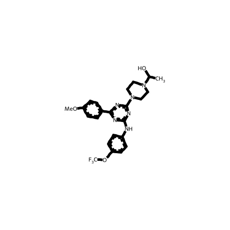 COc1ccc(-c2nc(Nc3ccc(OC(F)(F)F)cc3)nc(N3CCN(C(C)O)CC3)n2)cc1